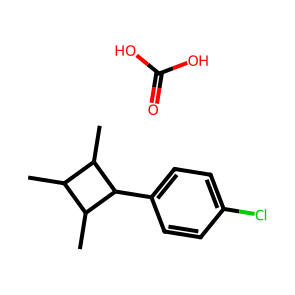 CC1C(C)C(c2ccc(Cl)cc2)C1C.O=C(O)O